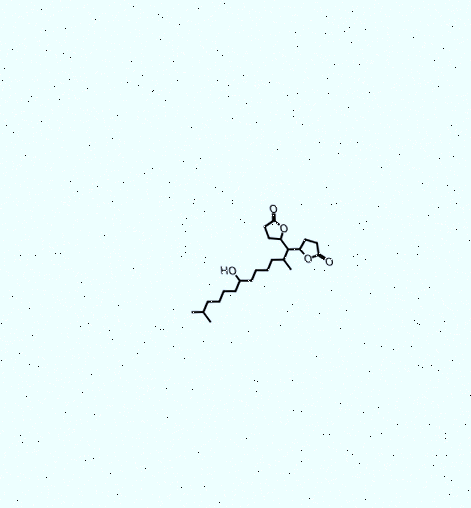 CC(C)CCCCC(O)CCCCC(C)C(C1CCC(=O)O1)C1CCC(=O)O1